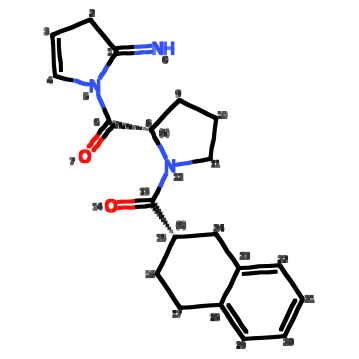 N=C1CC=CN1C(=O)[C@@H]1CCCN1C(=O)[C@H]1CCc2ccccc2C1